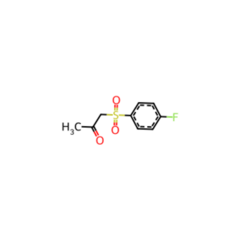 CC(=O)CS(=O)(=O)c1ccc(F)cc1